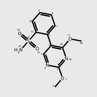 COc1ncc(-c2ccccc2S(N)(=O)=O)c(OC)n1